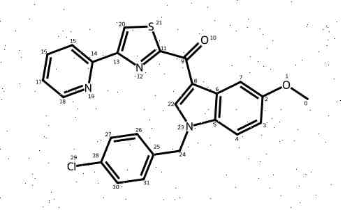 COc1ccc2c(c1)c(C(=O)c1nc(-c3ccccn3)cs1)cn2Cc1ccc(Cl)cc1